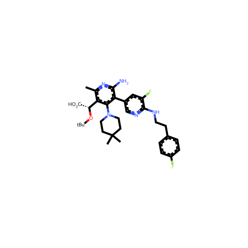 Cc1nc(N)c(-c2cnc(NCCc3ccc(F)cc3)c(F)c2)c(N2CCC(C)(C)CC2)c1[C@H](OC(C)(C)C)C(=O)O